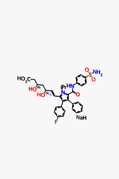 CC(C)n1c(/C=C/[C@@H](O)C[C@@H](O)CC(=O)O)c(-c2ccc(F)cc2)c(-c2ccccc2)c1C(=O)Nc1ccc(S(N)(=O)=O)cc1.[NaH]